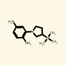 C[N+](C)(C)C1CCN(c2cc(N)ccc2N)C1